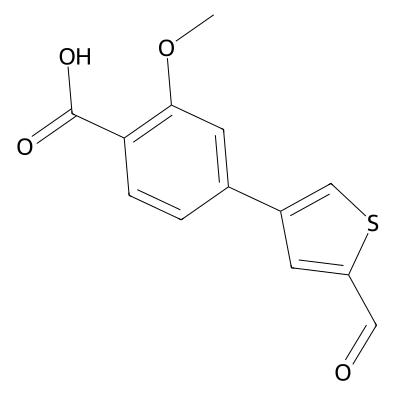 COc1cc(-c2csc(C=O)c2)ccc1C(=O)O